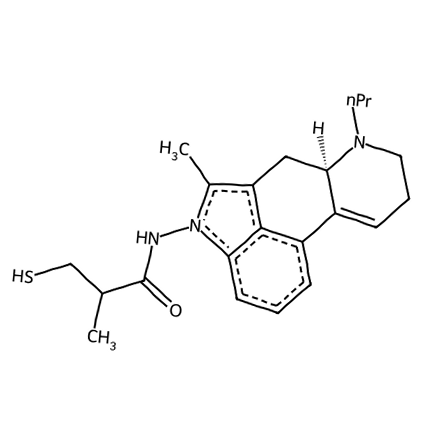 CCCN1CCC=C2c3cccc4c3c(c(C)n4NC(=O)C(C)CS)C[C@H]21